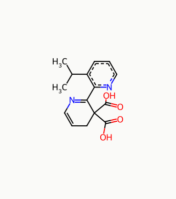 CC(C)c1cccnc1C1=NC=CCC1(C(=O)O)C(=O)O